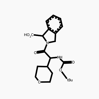 CC(C)(C)OC(=O)NC(C(=O)N1Cc2ccccc2C1C(=O)O)C1CCOCC1